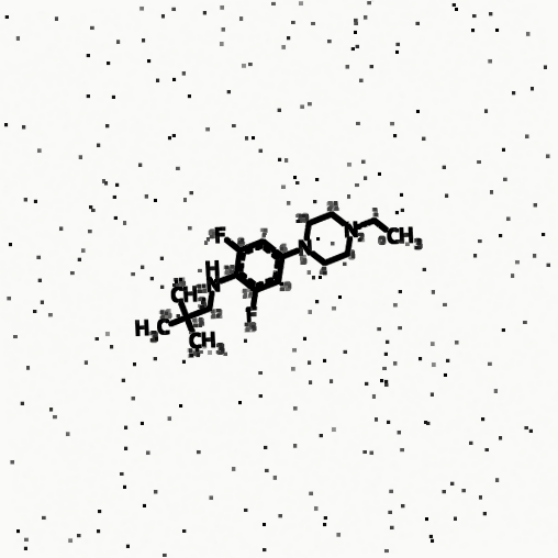 CCN1CCN(c2cc(F)c(NCC(C)(C)C)c(F)c2)CC1